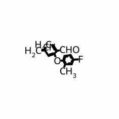 C=C(C#N)/C=C(Oc1ccc(F)cc1C)\C(C=O)=C/C